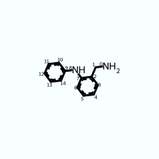 NCc1ccccc1Nc1ccccc1